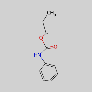 CC[CH]OC(=O)Nc1ccccc1